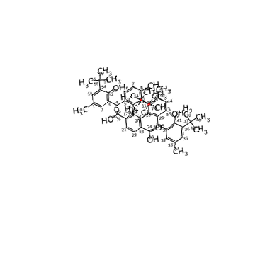 Cc1cc(Cc2ccc(C)c(C(C)(C)C)c2-c2c(C(=O)O)ccc(C(=O)O)c2-c2c(Cc3cc(C)cc(C(C)(C)C)c3O)ccc(C)c2C(C)(C)C)c(O)c(C(C)(C)C)c1